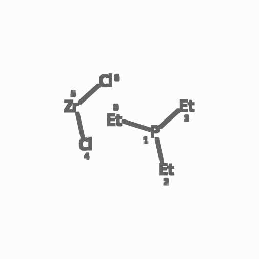 CCP(CC)CC.[Cl][Zr][Cl]